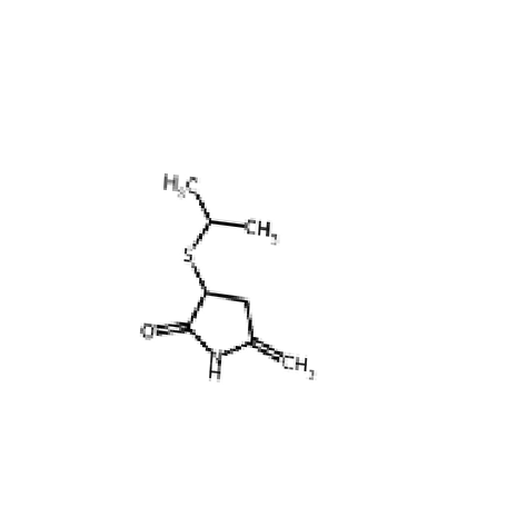 C=C1CC(SC(C)C)C(=O)N1